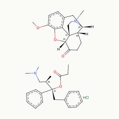 CCC(=O)O[C@](Cc1ccccc1)(c1ccccc1)[C@H](C)CN(C)C.COc1ccc2c3c1O[C@H]1C(=O)CC[C@H]4[C@@H](C2)N(C)CC[C@]314.Cl